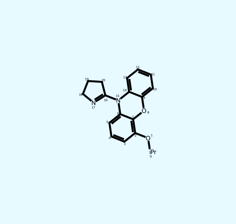 CC(C)Oc1cccc2c1Oc1ccccc1N2C1=NCCC1